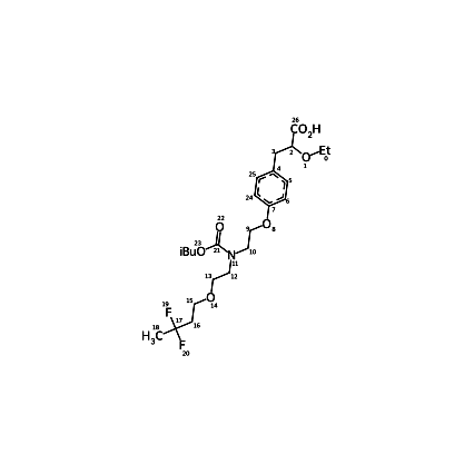 CCOC(Cc1ccc(OCCN(CCOCCC(C)(F)F)C(=O)OCC(C)C)cc1)C(=O)O